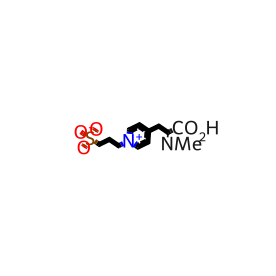 CN[C@H](Cc1cc[n+](CCCS(=O)(=O)[O-])cc1)C(=O)O